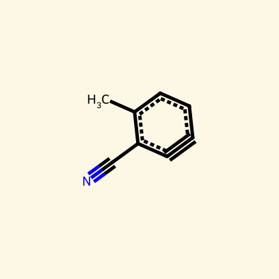 Cc1ccc#cc1C#N